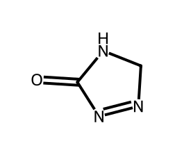 O=C1N=NCN1